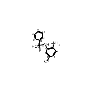 CC(O)(Nc1cc(Cl)ccc1N)c1ccccc1